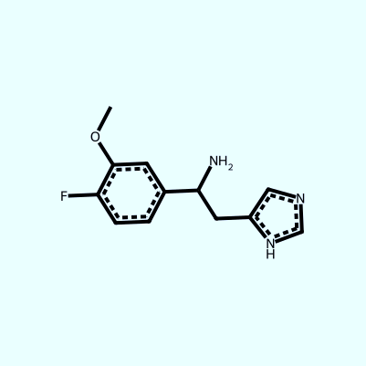 COc1cc(C(N)Cc2cnc[nH]2)ccc1F